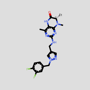 CC[C@H]1C(=O)Nc2c(C)nc(NCc3cnn(Cc4ccc(F)c(F)c4)c3)nc2N1C